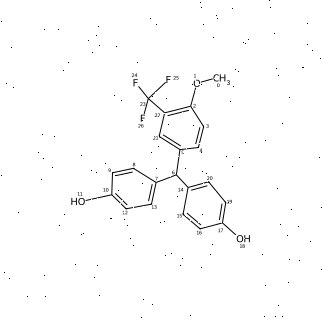 COc1ccc(C(c2ccc(O)cc2)c2ccc(O)cc2)cc1C(F)(F)F